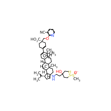 C=C(C)[C@@H]1CC[C@]2(NCCC3(O)CC[SH]([S+](C)[O-])CC3)CC[C@]3(C)[C@H](CC[C@@H]4[C@@]5(C)CC=C(C6=CC[C@@](COc7ncccc7C#N)(C(=O)O)CC6)C(C)(C)[C@@H]5CC[C@]43C)[C@@H]12